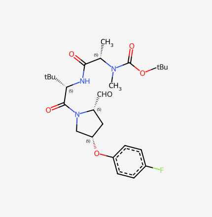 C[C@@H](C(=O)N[C@H](C(=O)N1C[C@@H](Oc2ccc(F)cc2)C[C@H]1C=O)C(C)(C)C)N(C)C(=O)OC(C)(C)C